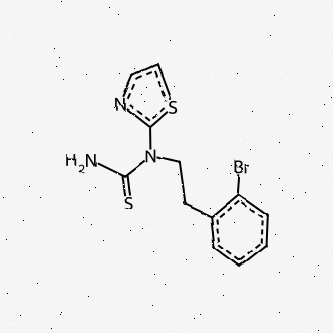 NC(=S)N(CCc1ccccc1Br)c1nccs1